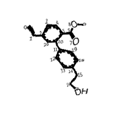 C=Cc1ccc(C(=O)OC)c(-c2ccc(CCO)cc2)c1